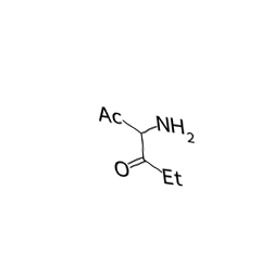 CCC(=O)C(N)C(C)=O